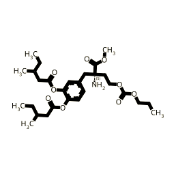 CCCOC(=O)OCC[C@@](N)(Cc1ccc(OC(=O)CC(C)CC)c(OC(=O)CC(C)CC)c1)C(=O)OC